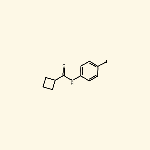 O=C(Nc1ccc(I)cc1)C1CCC1